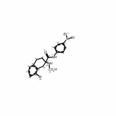 CCN(CC)c1ccc(NC(=O)C2(NC(=O)O)CCc3cccc(Br)c3C2)cc1